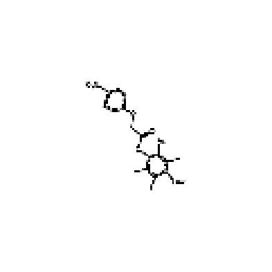 CC(=O)Oc1c(C)c(C)c(OC(=O)COc2ccc([N+](=O)[O-])cc2)c(C(C)=O)c1C